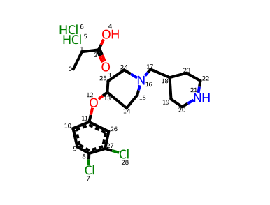 CCC(=O)O.Cl.Cl.Clc1ccc(OC2CCN(CC3CCNCC3)CC2)cc1Cl